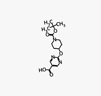 CC(C)(C)OC(=O)N1CCC(Oc2ncc(C(=O)O)cn2)CC1